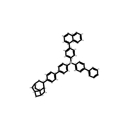 c1ccc(-c2ccc(N(c3ccc(-c4ccc(C56CC7CC8CC(C5)C8(C7)C6)cc4)cc3)c3ccc(-c4cccc5ccccc45)cc3)cc2)cc1